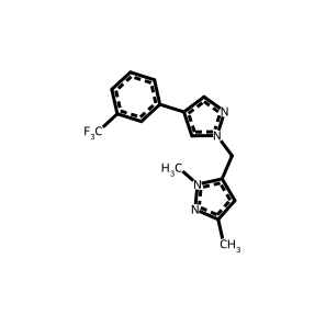 Cc1cc(Cn2cc(-c3cccc(C(F)(F)F)c3)cn2)n(C)n1